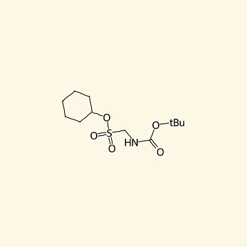 CC(C)(C)OC(=O)NCS(=O)(=O)OC1CCCCC1